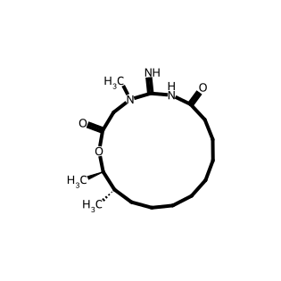 C[C@H]1CCCCCCCCC(=O)NC(=N)N(C)CC(=O)O[C@@H]1C